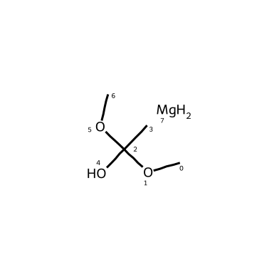 COC(C)(O)OC.[MgH2]